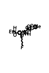 CCNC(=O)c1ccc(-n2cc(C(=O)N[C@@H](Cc3ccccc3)C(=O)OC)nn2)c(OCCCCCCF)c1